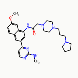 CNc1nccc(-c2cc(NC(=O)CN3CCN(CCCN4CCCC4)CC3)c3cc(OC)ccc3c2)n1